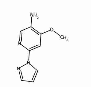 COc1cc(-n2cccn2)ncc1N